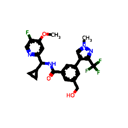 COc1cc(C(NC(=O)c2cc(CO)cc(-c3cn(C)nc3C(F)(F)F)c2)C2CC2)ncc1F